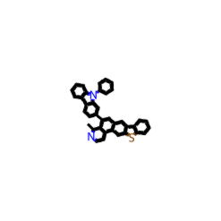 Cc1nccc2c1c(-c1ccc3c4ccccc4n(-c4ccccc4)c3c1)cc1cc3c(cc12)sc1ccccc13